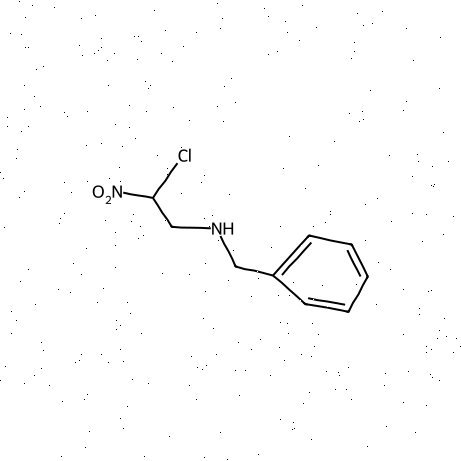 O=[N+]([O-])C(Cl)CNCc1ccccc1